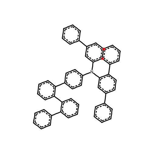 c1ccc(-c2cccc(N(c3ccc(-c4ccccc4-c4ccccc4-c4ccccc4)cc3)c3cc(-c4ccccc4)ccc3-c3ccccc3)c2)cc1